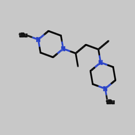 CC(CC(C)N1CCN(C(C)(C)C)CC1)N1CCN(C(C)(C)C)CC1